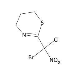 O=[N+]([O-])C(Cl)(Br)C1=NCCCS1